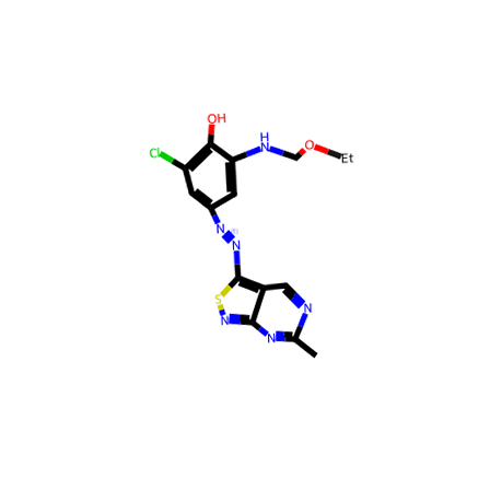 CCOCNc1cc(/N=N/c2snc3nc(C)ncc23)cc(Cl)c1O